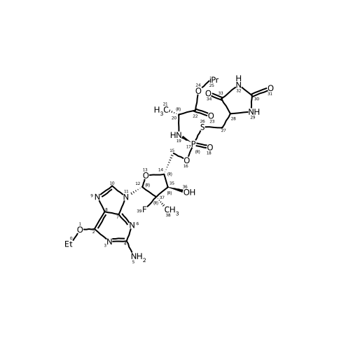 CCOc1nc(N)nc2c1ncn2[C@@H]1O[C@H](CO[P@](=O)(N[C@H](C)C(=O)OC(C)C)SCC2NC(=O)NC2=O)[C@@H](O)[C@@]1(C)F